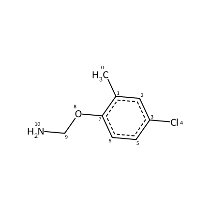 Cc1cc(Cl)ccc1OCN